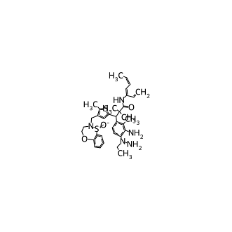 C=C/C(=C\C=C/C)NC(=O)C(C)(C)C(c1cc(CN2CCOc3ccccc3[S+]2[O-])c(C)s1)c1ccc(N(N)CC)c(N)c1C